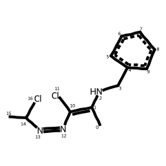 C/C(NCc1ccccc1)=C(Cl)\N=N/C(C)Cl